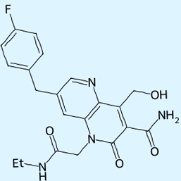 CCNC(=O)Cn1c(=O)c(C(N)=O)c(CO)c2ncc(Cc3ccc(F)cc3)cc21